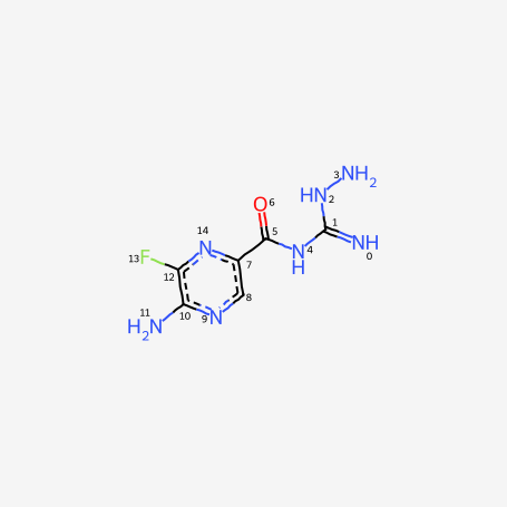 N=C(NN)NC(=O)c1cnc(N)c(F)n1